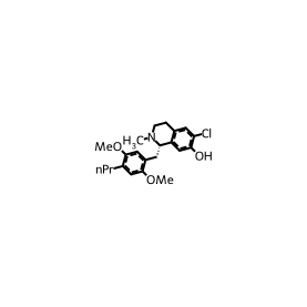 CCCc1cc(OC)c(C[C@H]2c3cc(O)c(Cl)cc3CCN2C)cc1OC